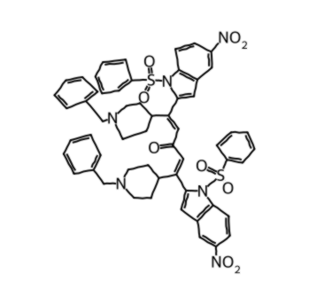 O=C(C=C(c1cc2cc([N+](=O)[O-])ccc2n1S(=O)(=O)c1ccccc1)C1CCN(Cc2ccccc2)CC1)C=C(c1cc2cc([N+](=O)[O-])ccc2n1S(=O)(=O)c1ccccc1)C1CCN(Cc2ccccc2)CC1